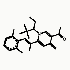 C=C1C=C(/C(C)=C/c2c(C)cccc2C)N(C(CC)C(C)(C)C)C=C1C(C)=O